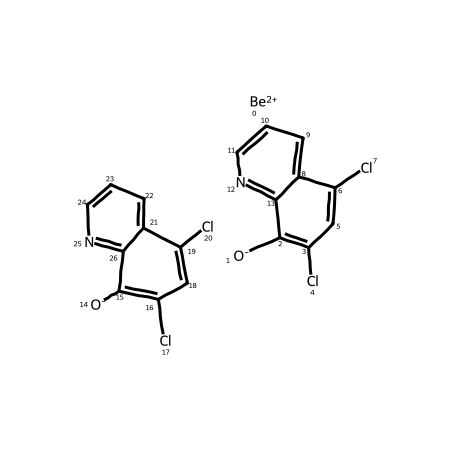 [Be+2].[O-]c1c(Cl)cc(Cl)c2cccnc12.[O-]c1c(Cl)cc(Cl)c2cccnc12